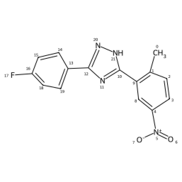 Cc1ccc([N+](=O)[O-])cc1-c1nc(-c2ccc(F)cc2)n[nH]1